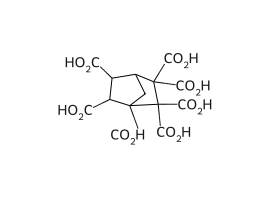 O=C(O)C1C(C(=O)O)C2(C(=O)O)CC1C(C(=O)O)(C(=O)O)C2(C(=O)O)C(=O)O